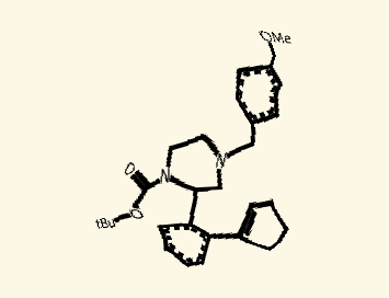 COc1ccc(CN2CCN(C(=O)OC(C)(C)C)C(c3ccccc3C3=CCCC3)C2)cc1